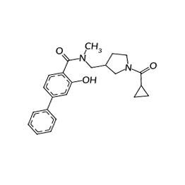 CN(CC1CCN(C(=O)C2CC2)C1)C(=O)c1ccc(-c2ccccc2)cc1O